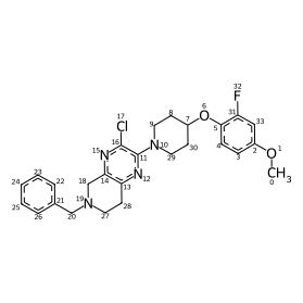 COc1ccc(OC2CCN(c3nc4c(nc3Cl)CN(Cc3ccccc3)CC4)CC2)c(F)c1